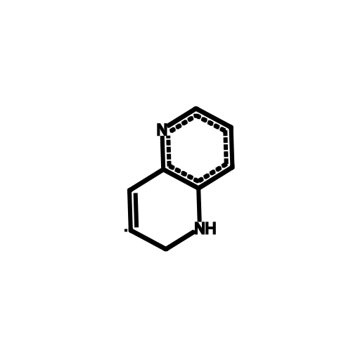 [C]1=Cc2ncccc2NC1